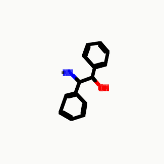 [NH]C(c1ccccc1)C(O)c1ccccc1